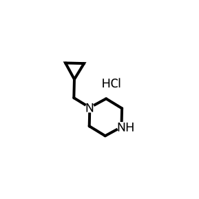 C1CN(CC2CC2)CCN1.Cl